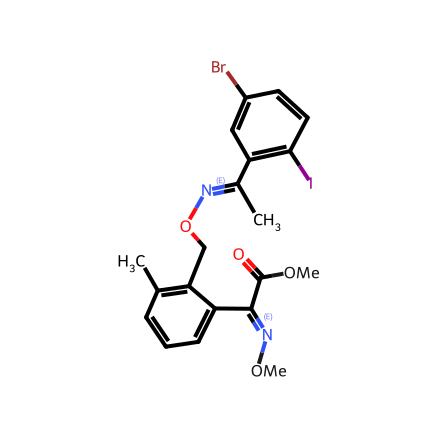 CO/N=C(/C(=O)OC)c1cccc(C)c1CO/N=C(\C)c1cc(Br)ccc1I